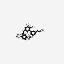 C=CCc1ccc(OS(=O)(=O)c2ccc(C)cc2)c(-c2cc(CC=C)cc([N+](=O)[O-])c2O)c1